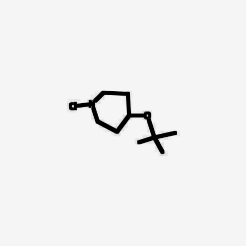 CC(C)(C)OC1CCN(Cl)CC1